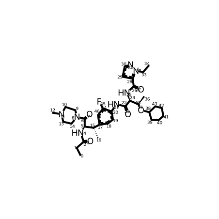 CCC(=O)N[C@@H](C(=O)N1CCN(C)CC1)[C@@H](C)c1ccc(NC(=O)[C@@H](NC(=O)c2ccnn2CC)[C@@H](C)OC2CCCCC2)c(F)c1